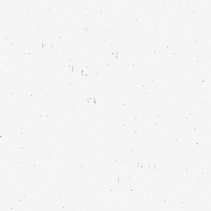 Cc1nn2c(Nc3ccc(S(=O)(=O)N(C)C)cc3)cc(-c3ccccc3)nc2c1Br